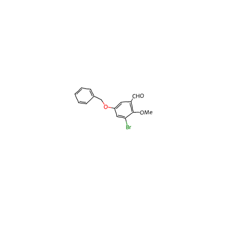 COc1c(Br)cc(OCc2ccccc2)cc1C=O